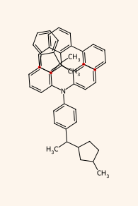 CC1CCC(C(C)c2ccc(N(c3ccccc3-c3cccc4cccc(-c5ccccc5)c34)c3cccc4c3C(C)(C)c3ccccc3-4)cc2)C1